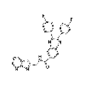 O=C(NCc1cn2cccnc2n1)c1ccc2nc(-c3ccc(F)cc3)c(-c3ccc(F)cc3)nc2c1